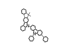 CC1(C)c2ccccc2-c2cc3c4ccccc4n(-c4ccc5c6ccc(-c7ccccc7)cc6n(-c6ccccc6)c5c4)c3cc21